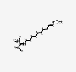 CCCCCCCCC=CCCCCCCCCN=C(N(C)C)N(C)C